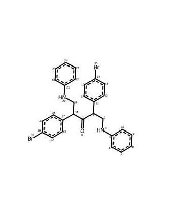 O=C(C(CNc1ccccc1)c1ccc(Br)cc1)C(CNc1ccccc1)c1ccc(Br)cc1